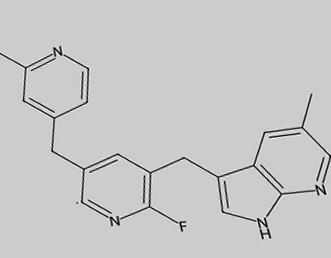 Cc1cnc2[nH]cc(Cc3cc(Cc4ccnc(Cl)c4)[c]nc3F)c2c1